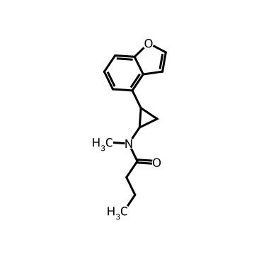 CCCC(=O)N(C)C1CC1c1cccc2occc12